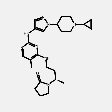 C[C@H](CCNc1nc(Nc2cnn(C3CCN(C4CC4)CC3)c2)ncc1Cl)N1CCCC1=O